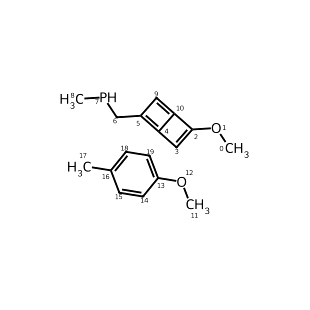 COc1cc2c(CPC)cc1-2.COc1ccc(C)cc1